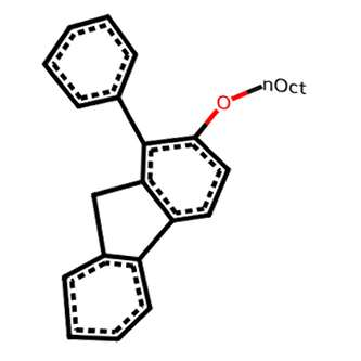 CCCCCCCCOc1ccc2c(c1-c1ccccc1)Cc1ccccc1-2